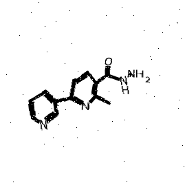 Cc1nc(-c2cccnc2)ccc1C(=O)NN